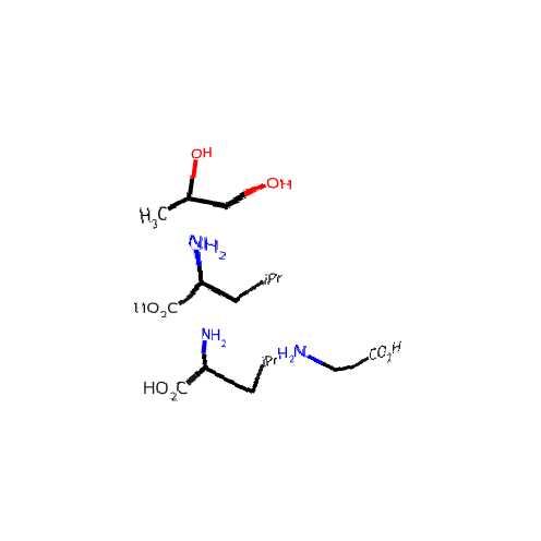 CC(C)CC(N)C(=O)O.CC(C)CC(N)C(=O)O.CC(O)CO.NCC(=O)O